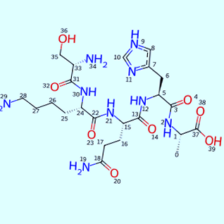 C[C@H](NC(=O)[C@H](Cc1c[nH]cn1)NC(=O)[C@H](CCC(N)=O)NC(=O)[C@H](CCCCN)NC(=O)[C@@H](N)CO)C(=O)O